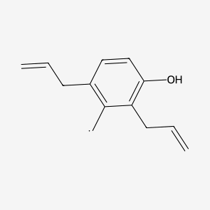 [CH2]c1c(CC=C)ccc(O)c1CC=C